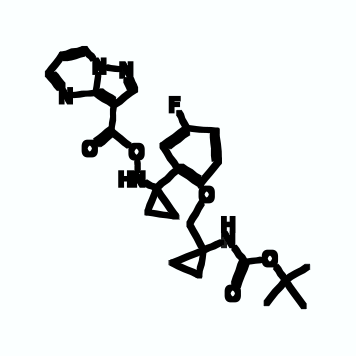 CC(C)(C)OC(=O)NC1(COc2ccc(F)cc2C2(NOC(=O)c3cnn4cccnc34)CC2)CC1